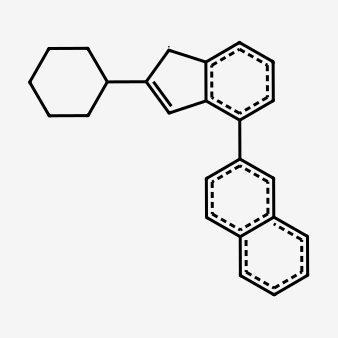 [CH]1C(C2CCCCC2)=Cc2c1cccc2-c1ccc2ccccc2c1